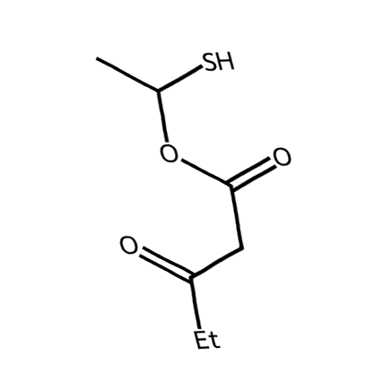 CCC(=O)CC(=O)OC(C)S